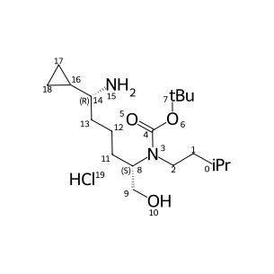 CC(C)CCN(C(=O)OC(C)(C)C)[C@H](CO)CCC[C@@H](N)C1CC1.Cl